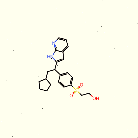 O=S(=O)(CCO)c1ccc(C(CC2CCCC2)c2cc3cccnc3[nH]2)cc1